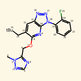 Cn1ncnc1COc1nc2c(cc1CC(C)(C)C)nnn2-c1ccccc1F